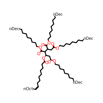 CCCCCCCC/C=C\CCCCCCCC(=O)OC(CC(=O)OCCCCCCCCCCCCCCCCCC)C(C(=O)OCCCCCCCCCCCCCCCCCC)C(CC(=O)OCCCCCCCCCCCCCCCCCC)C(=O)OCCCCCCCCCCCCCCCCCC